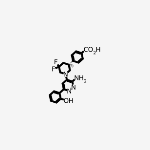 Nc1nnc(-c2ccccc2O)cc1N1C[C@@H](c2ccc(C(=O)O)cc2)CC(F)(F)C1